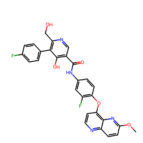 COc1ccc2nccc(Oc3ccc(NC(=O)c4cnc(CO)c(-c5ccc(F)cc5)c4O)cc3F)c2n1